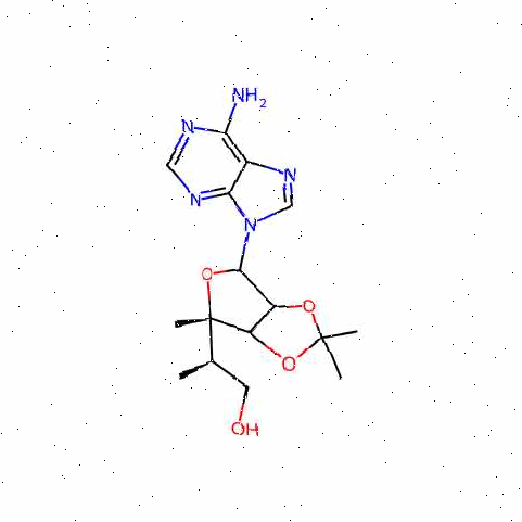 C[C@H](CO)[C@]1(C)OC(n2cnc3c(N)ncnc32)C2OC(C)(C)OC21